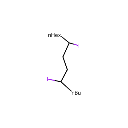 CCCCCCC(I)CCC(I)CCCC